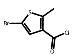 Cc1sc(Br)cc1C(=O)Cl